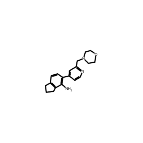 Nc1c(-c2ccnc(CN3CCOCC3)c2)ccc2c1CCC2